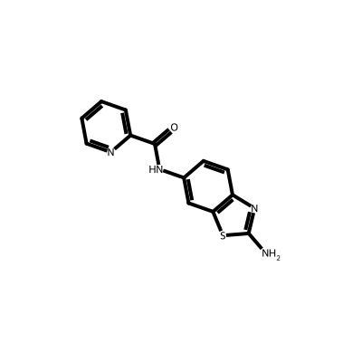 Nc1nc2ccc(NC(=O)c3ccccn3)cc2s1